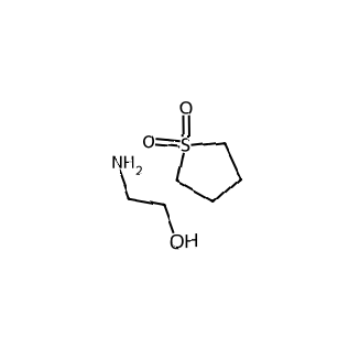 NCCO.O=S1(=O)CCCC1